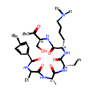 CCC(NC(=O)c1ccc(C(C)(C)C)cc1)C(=O)N[C@@H](C)C(=O)N[C@@H](CC(C)C)C(=O)N[C@@H](CCCCN(CC)CC)C(=O)N[C@@H](CO)C(=O)OC